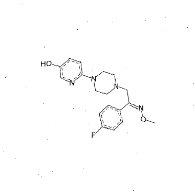 CO/N=C(/CN1CCN(c2ccc(O)cn2)CC1)c1ccc(F)cc1